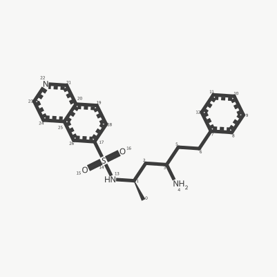 C[C@H](CC(N)CCc1ccccc1)NS(=O)(=O)c1ccc2cnccc2c1